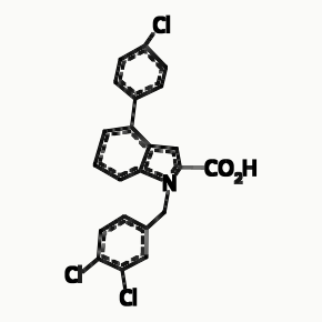 O=C(O)c1cc2c(-c3ccc(Cl)cc3)cccc2n1Cc1ccc(Cl)c(Cl)c1